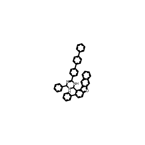 c1ccc(-c2ccc(-c3ccc(C4=NC(c5ccccc5)NC(c5c(-c6ccccc6)ccc6oc7cc8ccccc8cc7c56)N4)cc3)cc2)cc1